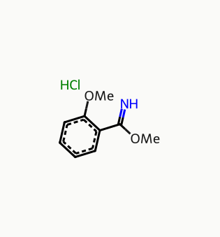 COC(=N)c1ccccc1OC.Cl